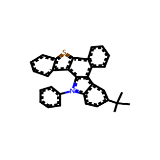 CC(C)(C)c1ccc2c(c1)c1c3ccccc3c3sc4ccccc4c3c1n2-c1ccccc1